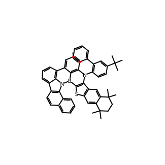 Cc1cc2c3c(c1)N(c1ccc(C(C)(C)C)cc1-c1ccccc1)c1c(sc4cc5c(cc14)C(C)(C)CCC5(C)C)B3n1c3c-2cccc3c2ccc3ccccc3c21